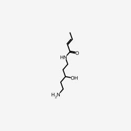 C/C=C/C(=O)NCCC(O)CCN